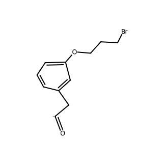 O=[C]Cc1cccc(OCCCBr)c1